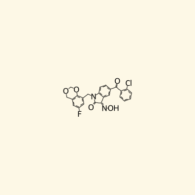 O=C(c1ccc2c(c1)/C(=N\O)C(=O)N2Cc1cc(F)cc2c1OCOC2)c1ccccc1Cl